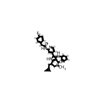 CN1CC(CC2CC2)c2[nH]c(-c3ccnc(NC(=O)Cc4ccc(F)cc4)c3)c(Nc3ccccc3)c2C1=O